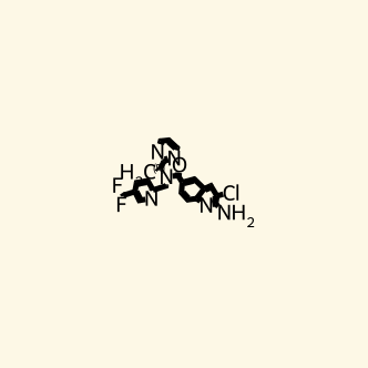 C[C@H](c1ncccn1)N(Cc1ccc(C(F)F)cn1)C(=O)c1ccc2nc(N)c(Cl)cc2c1